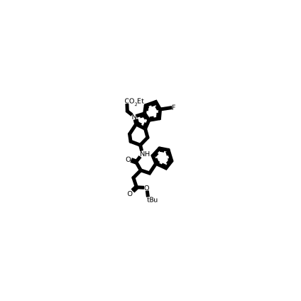 CCOC(=O)Cn1c2c(c3cc(F)ccc31)CC(NC(=O)C(CC(=O)OC(C)(C)C)Cc1ccccc1)CC2